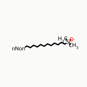 CCCCCCCCCCCCCCCCCCCCC[Si](C)(C)[O]